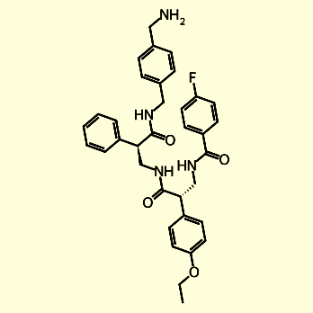 CCOc1ccc([C@@H](CNC(=O)c2ccc(F)cc2)C(=O)NC[C@H](C(=O)NCc2ccc(CN)cc2)c2ccccc2)cc1